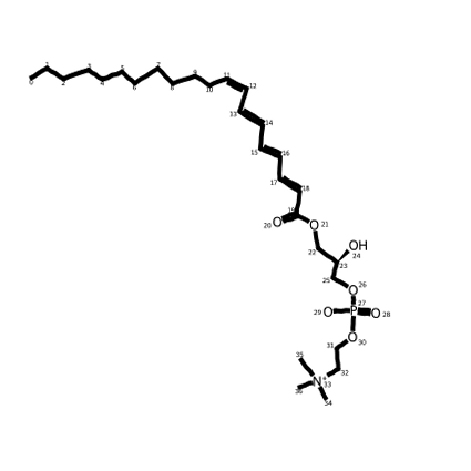 CCCCCCCCCCC/C=C\C=C\C=CC=CC(=O)OC[C@@H](O)COP(=O)([O-])OCC[N+](C)(C)C